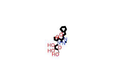 OC[C@H]1O[C@@H](n2c3ccoc3c3c(-c4cc5ccccc5o4)ncnc32)[C@H](O)[C@@H]1O